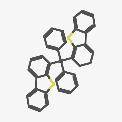 C1=c2c(sc3ccccc23)=C([Si](c2ccccc2)(c2ccccc2)c2cccc3c2sc2ccccc23)CC1